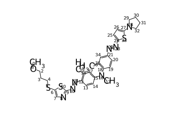 COCCCSc1cnc(/N=N/c2ccc(N(C)c3ccc(/N=N/c4ccc(N5CCCC5)s4)cc3C)cc2C)s1